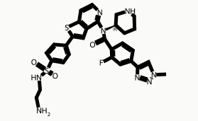 Cn1cc(-c2ccc(C(=O)N(c3nccc4sc(-c5ccc(S(=O)(=O)NCCN)cc5)cc34)[C@@H]3CCCNC3)c(F)c2)nn1